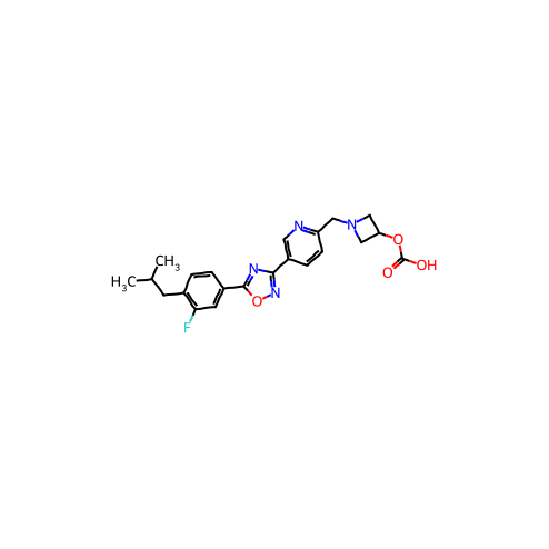 CC(C)Cc1ccc(-c2nc(-c3ccc(CN4CC(OC(=O)O)C4)nc3)no2)cc1F